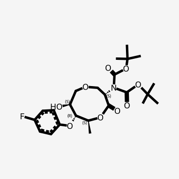 C[C@@H]1OC(=O)[C@@H](N(C(=O)OC(C)(C)C)C(=O)OC(C)(C)C)COC[C@H](O)[C@H]1Oc1ccc(F)cc1